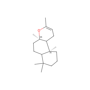 CC1=CCC2[C@@]3(C)CCCC(C)(C)C3CC[C@@]2(C)O1